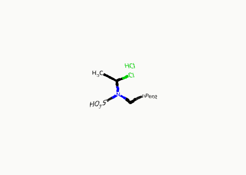 CCCCCCN(C(C)Cl)S(=O)(=O)O.Cl